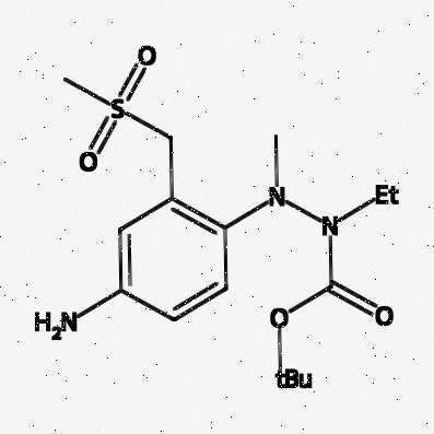 CCN(C(=O)OC(C)(C)C)N(C)c1ccc(N)cc1CS(C)(=O)=O